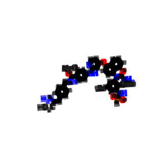 COc1cc(Nc2cc(Oc3ccc(N(C(N)=O)c4cc(C(C)(C)C)cc(NS(C)(=O)=O)c4OC)c4ccccc34)ccn2)ccc1C(=O)NCc1ccc(C[C@@H](N)C(=O)O)cc1